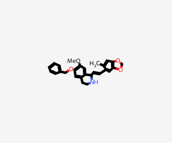 COc1cc2c(cc1OCc1ccccc1)CCNC2C=Cc1cc2c(cc1C)OCO2